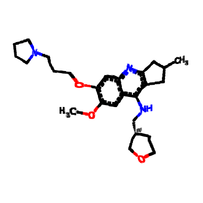 COc1cc2c(NC[C@@H]3CCOC3)c3c(nc2cc1OCCCN1CCCC1)CC(C)C3